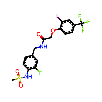 CS(=O)(=O)Nc1ccc(CNC(=O)COc2ccc(C(F)(F)F)cc2I)cc1F